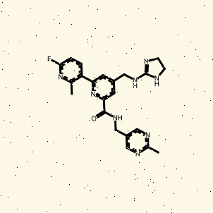 Cc1ncc(CNC(=O)c2cc(CNC3=NCCN3)cc(-c3ccc(F)nc3C)n2)cn1